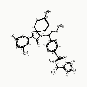 Cc1cc(Cl)cc(C2=NC3(CCC(C(C)(C)C)CC3)N(C(CCC(C)(C)C)c3ccc(C(=O)NC(C)c4nn[nH]n4)cc3)C2=O)c1